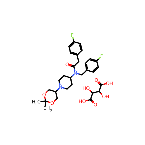 CC1(C)OCC(N2CCC(N(Cc3ccc(F)cc3)C(=O)Cc3ccc(F)cc3)CC2)CO1.O=C(O)C(O)C(O)C(=O)O